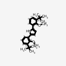 COc1c(-c2ccc(-c3cccc(C(C)(C)C)c3OC)[nH]2)cccc1C(C)(C)C